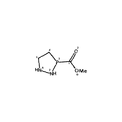 COC(=O)P1CCNN1